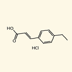 CCc1ccc(C=CC(=O)O)cc1.Cl